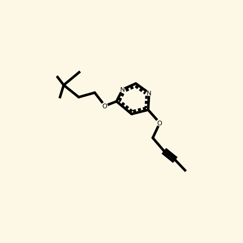 CC#CCOc1cc(OCCC(C)(C)C)ncn1